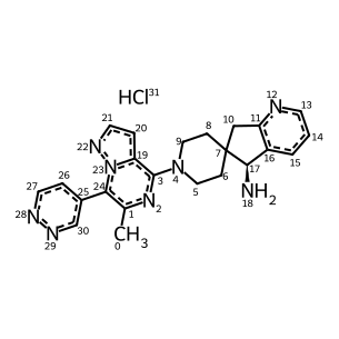 Cc1nc(N2CCC3(CC2)Cc2ncccc2[C@H]3N)c2ccnn2c1-c1ccnnc1.Cl